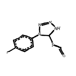 O=CSC1NN=NN1c1ccc(I)cc1